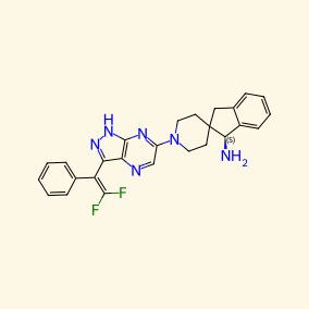 N[C@@H]1c2ccccc2CC12CCN(c1cnc3c(C(=C(F)F)c4ccccc4)n[nH]c3n1)CC2